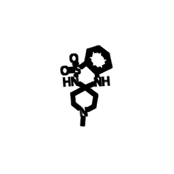 CN1CCC2(CC1)Nc1ccccc1S(=O)(=O)N2